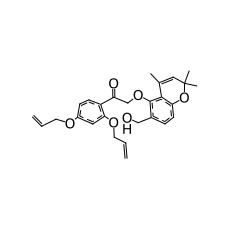 C=CCOc1ccc(C(=O)COc2c(CO)ccc3c2C(C)=CC(C)(C)O3)c(OCC=C)c1